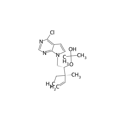 C=C[C@@](C)(CC)[C@H](Cn1ccc2c(Cl)ncnc21)OC(C)(C)O